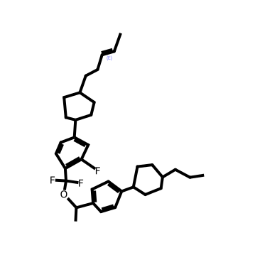 C/C=C/CCC1CCC(c2ccc(C(F)(F)OC(C)c3ccc(C4CCC(CCC)CC4)cc3)c(F)c2)CC1